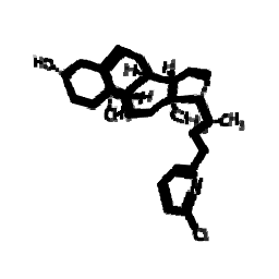 C[C@H](CCc1cccc(Cl)n1)[C@H]1CC[C@H]2[C@@H]3CC=C4C[C@@H](O)CC[C@]4(C)[C@H]3CC[C@]12C